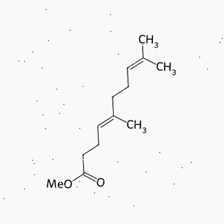 COC(=O)CC/C=C(\C)CCC=C(C)C